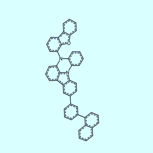 c1cc(-c2ccc3c(c2)c2cccc4c2n3-c2ccccc2N4c2cccc3c2oc2ccccc23)cc(-c2cccc3ccccc23)c1